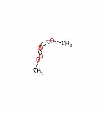 CCCCCCCOCCOc1ccc(OOCC2CCC(c3ccc(OCCCCCCC)cc3)CC2)cc1